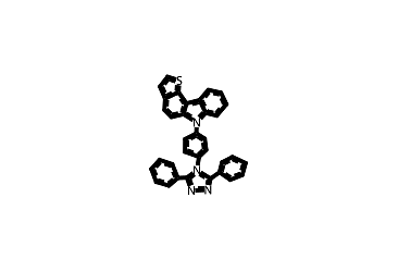 c1ccc(-c2nnc(-c3ccccc3)n2-c2ccc(-n3c4ccccc4c4c5sccc5ccc43)cc2)cc1